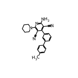 Cc1ccc(-c2cccc(-c3c(C#N)c(N)nc(N4CCCCC4)c3C#N)c2)cc1